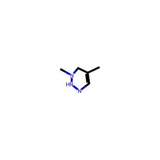 CC1=C[N]NN(C)C1